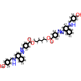 O=C(OCCCCCCOC(=O)c1ccc(/N=N/c2ccc(NCc3ccc(O)cc3)c3ccccc23)cc1)c1ccc(/N=N/c2ccc(NCc3ccc(O)cc3)c3ccccc23)cc1